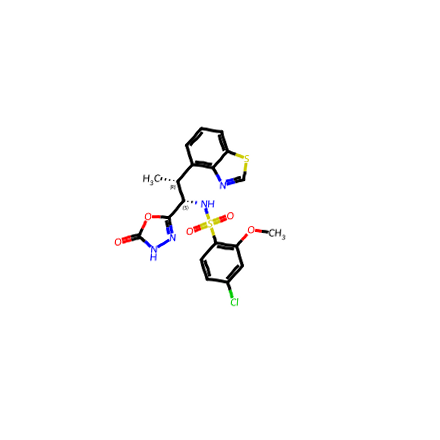 COc1cc(Cl)ccc1S(=O)(=O)N[C@H](c1n[nH]c(=O)o1)[C@H](C)c1cccc2scnc12